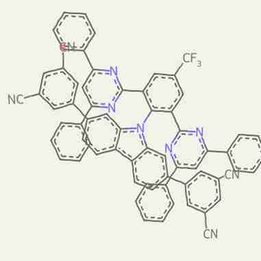 N#Cc1cc(C#N)cc(-c2ccc3c4ccc(-c5cc(C#N)cc(C#N)c5)cc4n(-c4c(-c5nc(-c6ccccc6)cc(-c6ccccc6)n5)cc(C(F)(F)F)cc4-c4nc(-c5ccccc5)cc(-c5ccccc5)n4)c3c2)c1